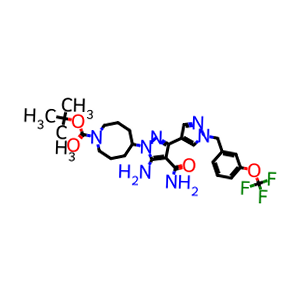 CC(C)(C)OC(=O)N1CCCC(n2nc(-c3cnn(Cc4cccc(OC(F)(F)F)c4)c3)c(C(N)=O)c2N)CCC1